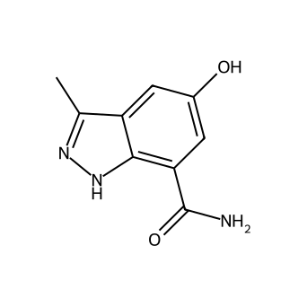 Cc1n[nH]c2c(C(N)=O)cc(O)cc12